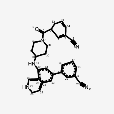 N#CC1=CC(C(=O)N2CCC(Nc3cc(-c4cccc(C#N)c4)cc4c3=CNCC=4)CC2)CC=C1